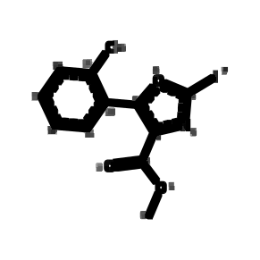 COC(=O)c1nc(I)oc1-c1ccccc1Cl